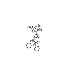 O=C(NC1(C(=O)O)CC1)c1cnc(NC(=O)N(C2CCCCC2)C2CCCCC2)s1